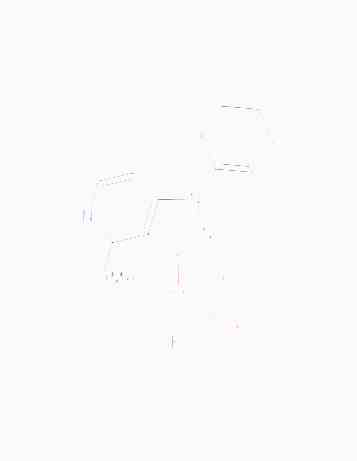 COc1nccc2c1c(OS(=O)(=O)C(F)(F)F)nn2-c1ccccc1